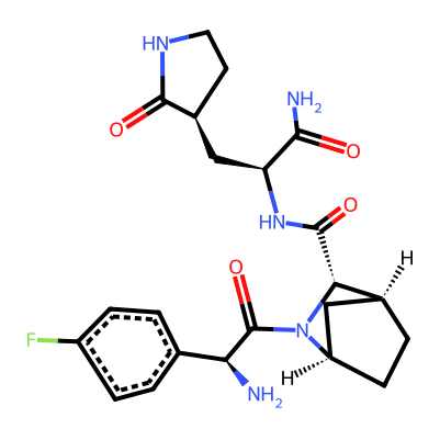 NC(=O)[C@H](C[C@@H]1CCNC1=O)NC(=O)[C@@H]1[C@H]2CC[C@H](C2)N1C(=O)[C@@H](N)c1ccc(F)cc1